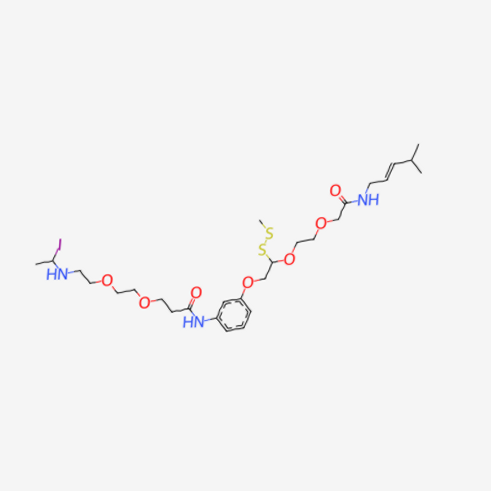 CSSC(COc1cccc(NC(=O)CCOCCOCCNC(C)I)c1)OCCOCC(=O)NC/C=C/C(C)C